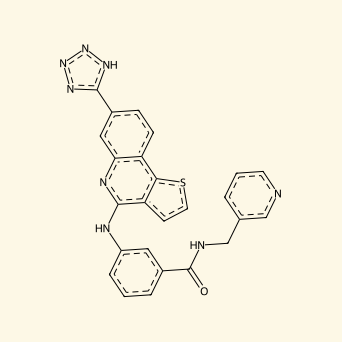 O=C(NCc1cccnc1)c1cccc(Nc2nc3cc(-c4nnn[nH]4)ccc3c3sccc23)c1